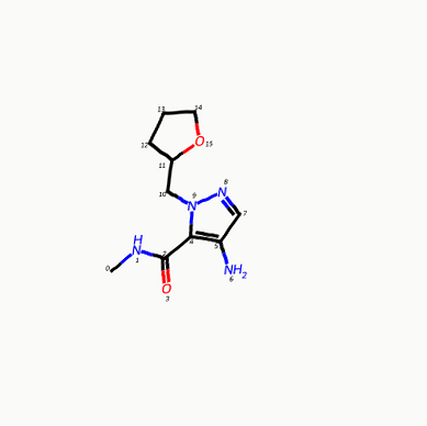 CNC(=O)c1c(N)cnn1CC1CCCO1